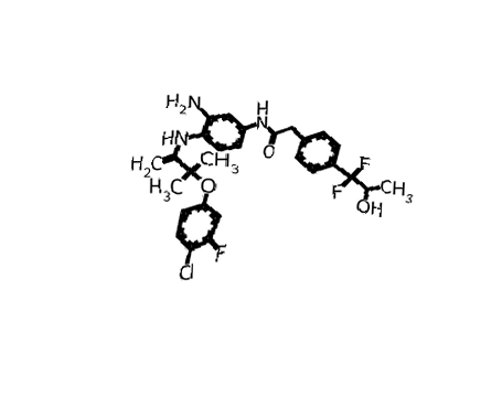 C=C(Nc1ccc(NC(=O)Cc2ccc(C(F)(F)C(C)O)cc2)cc1N)C(C)(C)Oc1ccc(Cl)c(F)c1